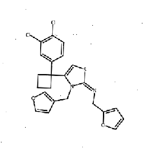 Clc1ccc(C2(c3csc(=NCc4ccco4)n3Cc3ccoc3)CCC2)cc1Cl